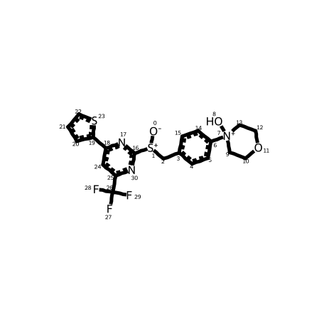 [O-][S+](Cc1ccc([N+]2(O)CCOCC2)cc1)c1nc(-c2cccs2)cc(C(F)(F)F)n1